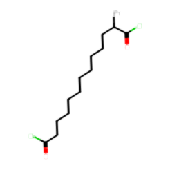 CC(C)C(CCCCCCCCCCC(=O)Cl)C(=O)Cl